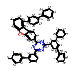 Cc1ccc(-c2cccc(-c3nc(-c4cc(-c5ccccc5)cc(-c5ccccc5)c4)nc(-c4ccc5c(c4)oc4cccc(-c6ccc(-c7ccccc7)cc6)c45)n3)c2)cc1